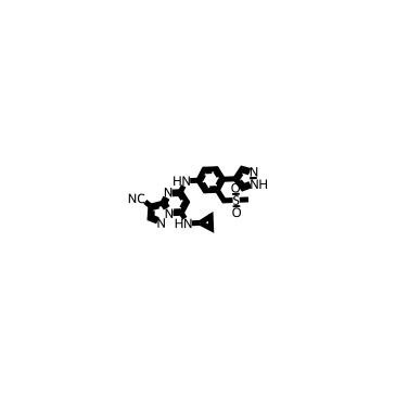 CS(=O)(=O)Cc1cc(Nc2cc(NC3CC3)n3ncc(C#N)c3n2)ccc1-c1cn[nH]c1